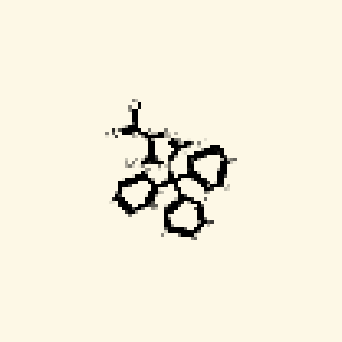 CCCc1nc(C(=O)CC)c(C#N)n1C(c1ccccc1)(c1ccccc1)c1ccccc1